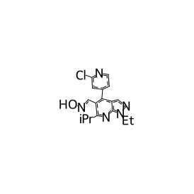 CCn1ncc2c(-c3ccnc(Cl)c3)c(C=NO)c(C(C)C)nc21